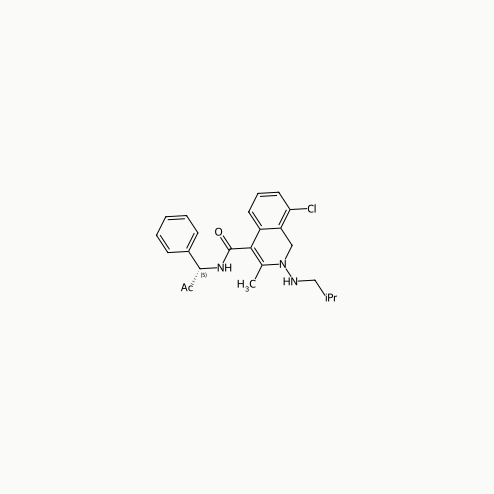 CC(=O)[C@@H](NC(=O)C1=C(C)N(NCC(C)C)Cc2c(Cl)cccc21)c1ccccc1